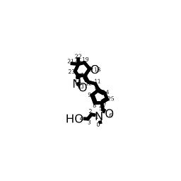 CN(CCO)C(=O)c1ccc(Cc2onc3c2C(=O)CC(C)(C)C3)cc1